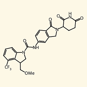 COCC1CN(C(=O)Nc2ccc3c(c2)CN(C2CCC(=O)NC2=O)C3=O)c2cccc(C(F)(F)F)c21